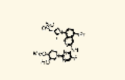 COC1CCN(c2ncc(F)c(Nc3cc4c(C(C)C)ccc(N5C[C@H](CS(C)(=O)=O)[C@H]5C)c4cn3)n2)CC1O